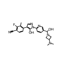 Cc1c(-c2cnn(-c3ccc(C(O)N4CC(N(C)C)C4)cn3)c2O)ccc(C#N)c1F